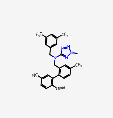 COc1ccc(C#N)cc1-c1ccc(C(F)(F)F)cc1CN(Cc1cc(C(F)(F)F)cc(C(F)(F)F)c1)c1nnn(C)n1